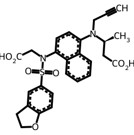 C#CCN(c1ccc(N(CC(=O)O)S(=O)(=O)c2ccc3c(c2)CCO3)c2ccccc12)[C@@H](C)CC(=O)O